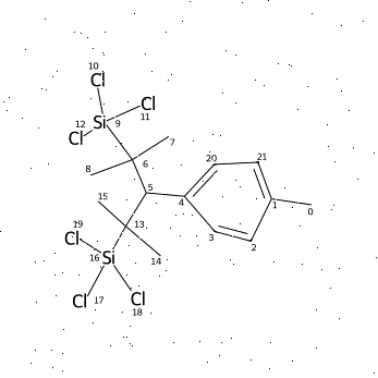 Cc1ccc(C(C(C)(C)[Si](Cl)(Cl)Cl)C(C)(C)[Si](Cl)(Cl)Cl)cc1